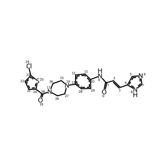 O=C(C=Cc1cnc[nH]1)Nc1ccc(N2CCN(C(=O)c3ccc(Cl)s3)CC2)cc1